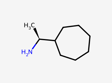 C[C@H](N)C1CCCCCC1